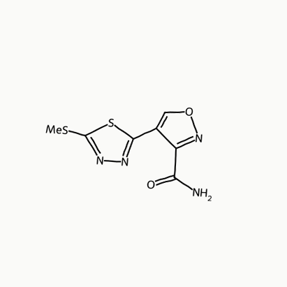 CSc1nnc(-c2conc2C(N)=O)s1